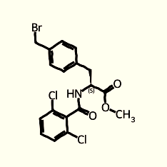 COC(=O)[C@H](Cc1ccc(CBr)cc1)NC(=O)c1c(Cl)cccc1Cl